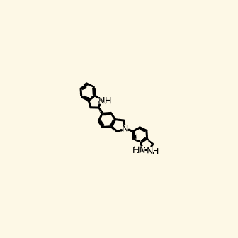 c1ccc2c(c1)CC(c1ccc3c(c1)CN(c1ccc4c(c1)NNC4)C3)N2